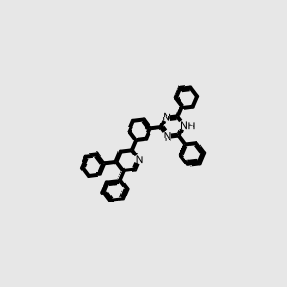 C1=CCCC(C2=NC(C3=CCCC(C4CC(C5=CC=CCC5)C(c5ccccc5)C=N4)C3)=NC(c3ccccc3)N2)=C1